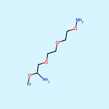 CCOC(N)COCCOCCON